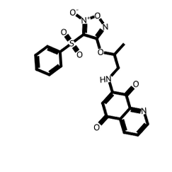 CC(CNC1=CC(=O)c2cccnc2C1=O)Oc1no[n+]([O-])c1S(=O)(=O)c1ccccc1